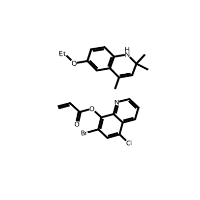 C=CC(=O)Oc1c(Br)cc(Cl)c2cccnc12.CCOc1ccc2c(c1)C(C)=CC(C)(C)N2